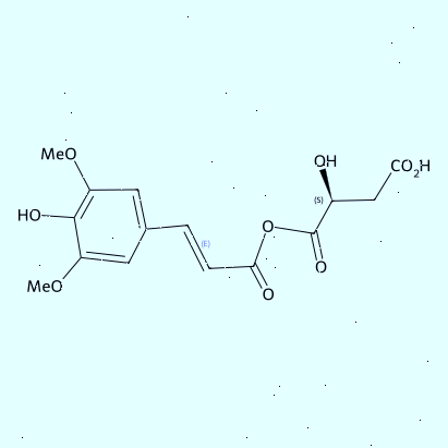 COc1cc(/C=C/C(=O)OC(=O)[C@@H](O)CC(=O)O)cc(OC)c1O